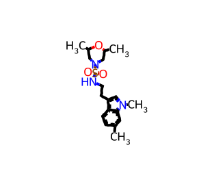 Cc1ccc2c(CCNS(=O)(=O)N3CC(C)OC(C)C3)cn(C)c2c1